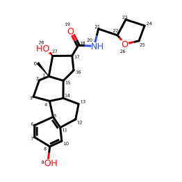 C[C@]12CCC3c4ccc(O)cc4CCC3C1CC(C(=O)NCC1CCCO1)[C@@H]2O